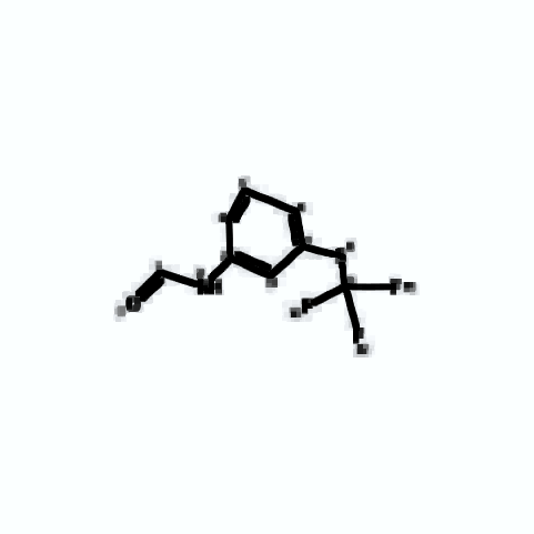 O=CNc1cccc(SC(F)(F)F)c1